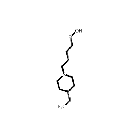 OOCCCCN1CCN(CC(F)(F)F)CC1